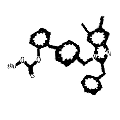 Cc1cc2nc(Cc3ccccc3)n(Cc3ccc(-c4ccccc4OC(=O)OC(C)(C)C)cc3)c2cc1C